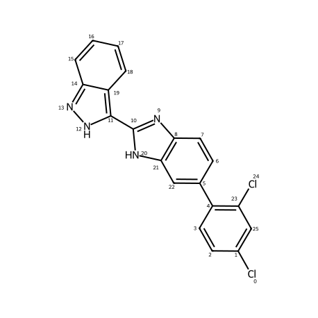 Clc1ccc(-c2ccc3nc(-c4[nH]nc5ccccc45)[nH]c3c2)c(Cl)c1